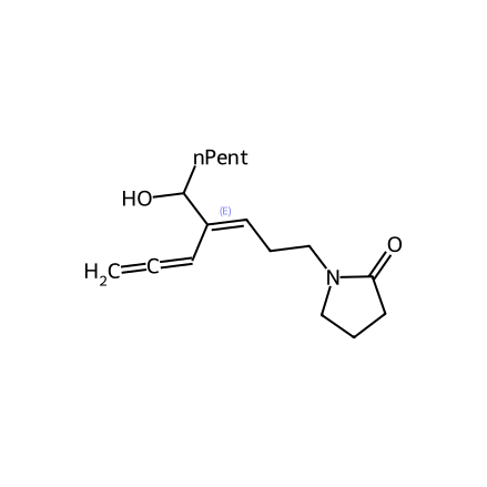 C=C=C/C(=C\CCN1CCCC1=O)C(O)CCCCC